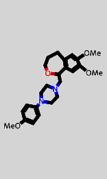 COc1ccc(N2CCN(CC3OCCCc4cc(OC)c(OC)cc43)CC2)cc1